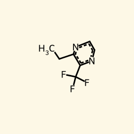 CCc1nccnc1C(F)(F)F